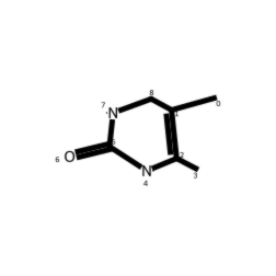 CC1=C(C)[N]C(=O)[N]C1